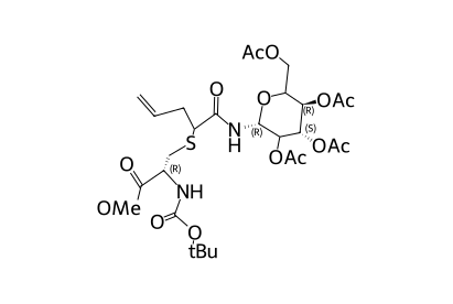 C=CCC(SC[C@H](NC(=O)OC(C)(C)C)C(=O)OC)C(=O)N[C@@H]1OC(COC(C)=O)[C@@H](OC(C)=O)[C@H](OC(C)=O)C1OC(C)=O